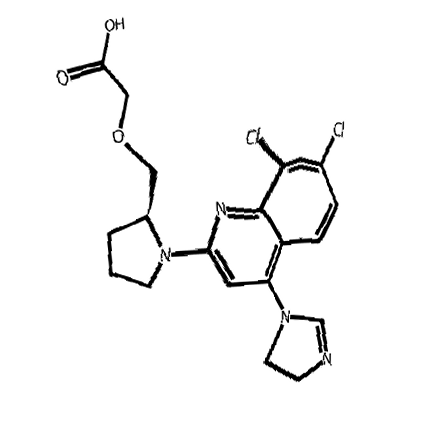 O=C(O)COC[C@@H]1CCCN1c1cc(N2C=NCC2)c2ccc(Cl)c(Cl)c2n1